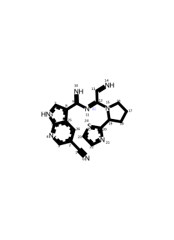 N#Cc1cnc2[nH]cc(C(=N)/N=C(\C=N)N3CCCC3c3nccs3)c2c1